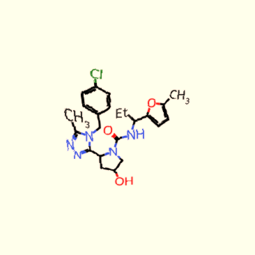 CCC(NC(=O)N1CC(O)CC1c1nnc(C)n1Cc1ccc(Cl)cc1)c1ccc(C)o1